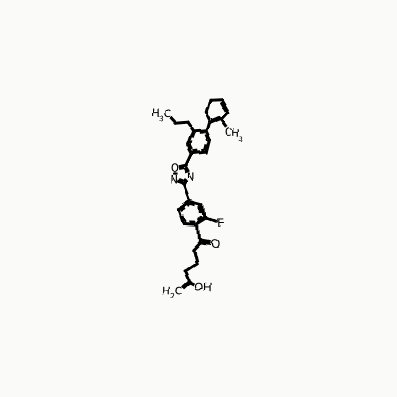 C=C(O)CCCC(=O)c1ccc(-c2noc(-c3ccc(C4=C(C)C=CCC4)c(CCC)c3)n2)cc1F